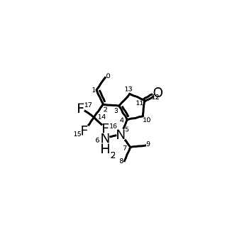 C/C=C(\C1=C(N(N)C(C)C)CC(=O)C1)C(F)(F)F